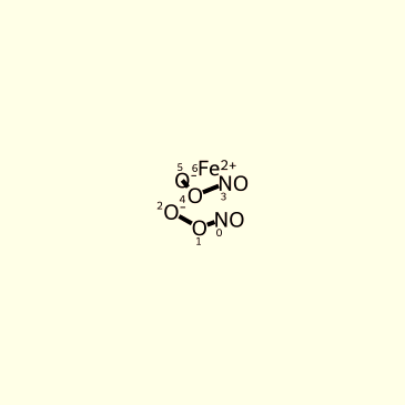 O=NO[O-].O=NO[O-].[Fe+2]